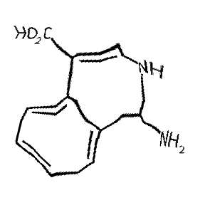 NC1NC=C(C(=O)O)c2ccccc21